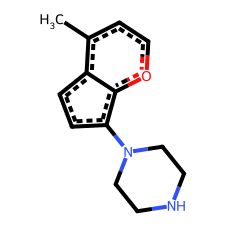 Cc1ccoc2c(N3CCNCC3)ccc1-2